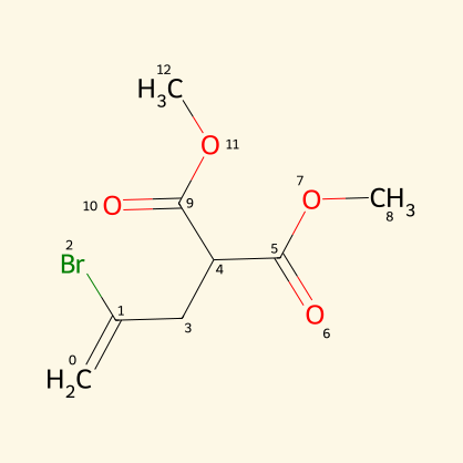 C=C(Br)CC(C(=O)OC)C(=O)OC